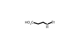 CCNCCC(=O)O